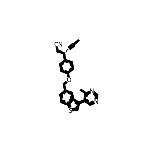 CC#C[C@@H](CC#N)c1ccc(OCc2ccc3scc(-c4cncnc4C)c3c2)cc1